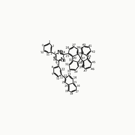 c1ccc(-c2nc(-c3cccc(-c4ccc5ccccc5c4)c3)nc(-c3cccc4c3-c3ccccc3C43c4ccccc4-c4ccccc43)n2)cc1